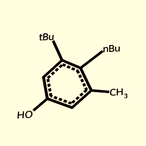 CCCCc1c(C)cc(O)cc1C(C)(C)C